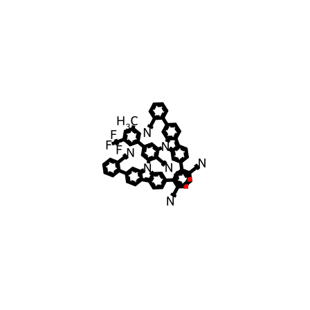 Cc1cc(-c2cc(-n3c4cc(-c5ccccc5C#N)ccc4c4ccc(-c5ccccc5C#N)cc43)c(C#N)c(-n3c4cc(-c5ccccc5C#N)ccc4c4ccc(-c5ccccc5C#N)cc43)c2)cc(C(F)(F)F)c1